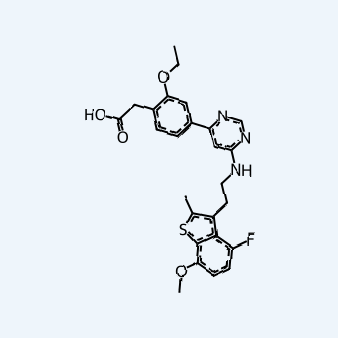 CCOc1cc(-c2cc(NCCc3c(C)sc4c(OC)ccc(F)c34)ncn2)ccc1CC(=O)O